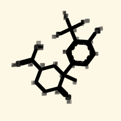 CC1(c2ccc(Cl)c(C(F)(F)F)c2)CC(C(=O)O)CCC1=O